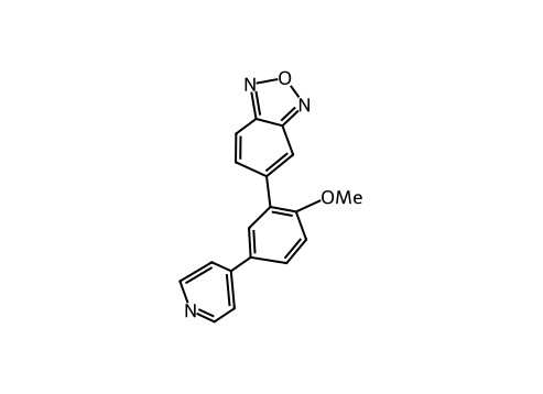 COc1ccc(-c2ccncc2)cc1-c1ccc2nonc2c1